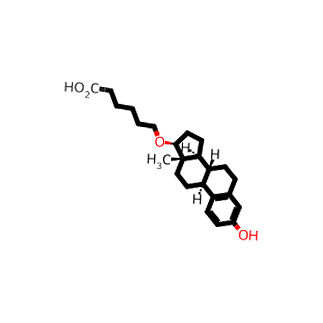 C[C@]12CC[C@@H]3c4ccc(O)cc4CC[C@H]3[C@@H]1CC[C@@H]2OCCCCCC(=O)O